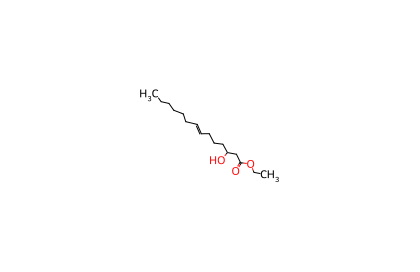 CCCCCC/C=C/CCCC(O)CC(=O)OCC